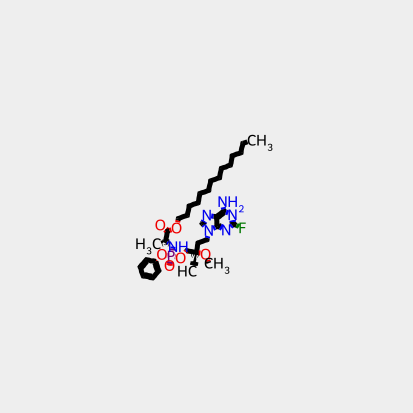 C#C[C@](CCn1cnc2c(N)nc(F)nc21)(COP(=O)(N[C@@H](C)C(=O)OCCCCCCCCCCCCCC)Oc1ccccc1)OC